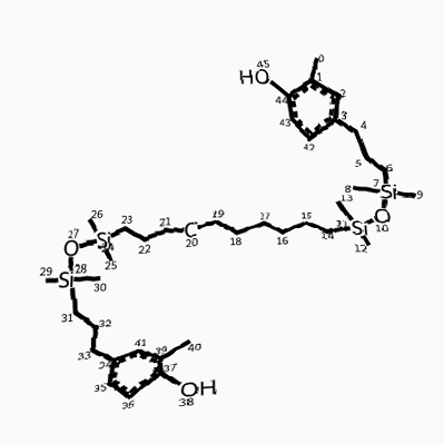 Cc1cc(CCC[Si](C)(C)O[Si](C)(C)CCCCCCCCCC[Si](C)(C)O[Si](C)(C)CCCc2ccc(O)c(C)c2)ccc1O